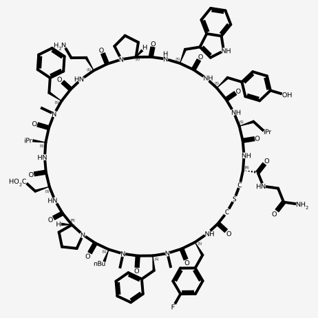 CCCC[C@H]1C(=O)N2CCC[C@@H]2C(=O)N[C@@H](CC(=O)O)C(=O)N[C@@H](C(C)C)C(=O)N(C)[C@@H](Cc2ccccc2)C(=O)N[C@@H](CCN)C(=O)N2CCC[C@@H]2C(=O)N[C@@H](Cc2c[nH]c3ccccc23)C(=O)N[C@@H](Cc2ccc(O)cc2)C(=O)N[C@@H](CC(C)C)C(=O)N[C@H](C(=O)NCC(N)=O)CSCC(=O)N[C@@H](Cc2ccc(F)cc2)C(=O)N(C)[C@@H](Cc2ccccc2)C(=O)N1C